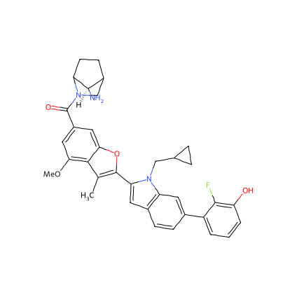 COc1cc(C(=O)N2CC3CCC2[C@@H]3N)cc2oc(-c3cc4ccc(-c5cccc(O)c5F)cc4n3CC3CC3)c(C)c12